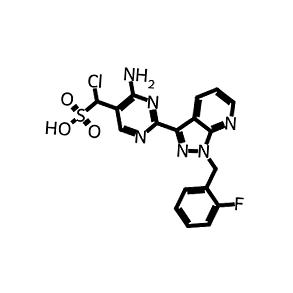 Nc1nc(-c2nn(Cc3ccccc3F)c3ncccc23)ncc1C(Cl)S(=O)(=O)O